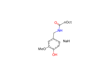 CCCCCCCCC(=O)NCc1ccc(O)c(OC)c1.[NaH]